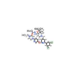 COC(=O)NCC1(O[Si](C)(C)C(C)(C)C)CCN(Cc2cc(Oc3ccc(N4CCN(C(=O)O)CC4)nc3)nc(-c3cc(Cl)cc(Cl)c3)c2)CC1